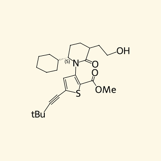 COC(=O)c1sc(C#CC(C)(C)C)cc1N1C(=O)C(CCO)CC[C@H]1C1CCCCC1